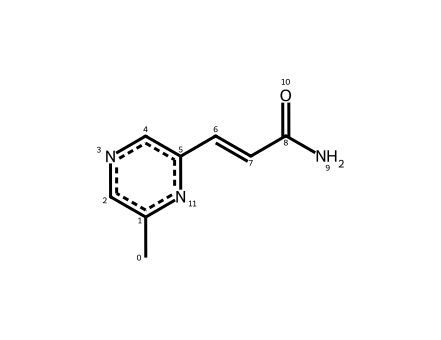 Cc1cncc(C=CC(N)=O)n1